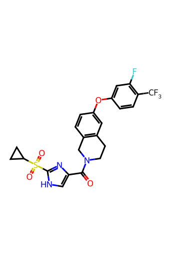 O=C(c1c[nH]c(S(=O)(=O)C2CC2)n1)N1CCc2cc(Oc3ccc(C(F)(F)F)c(F)c3)ccc2C1